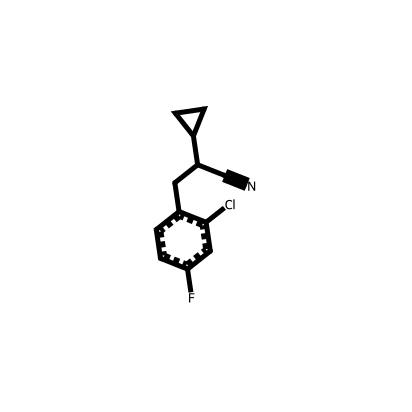 N#CC(Cc1ccc(F)cc1Cl)C1CC1